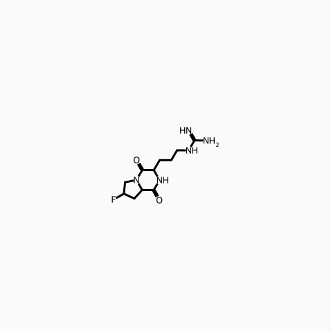 N=C(N)NCCCC1NC(=O)C2CC(F)CN2C1=O